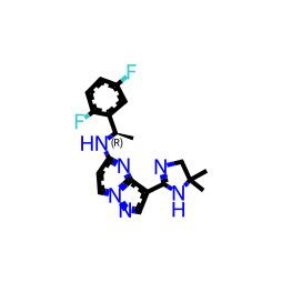 C[C@@H](Nc1ccn2ncc(C3=NCC(C)(C)N3)c2n1)c1cc(F)ccc1F